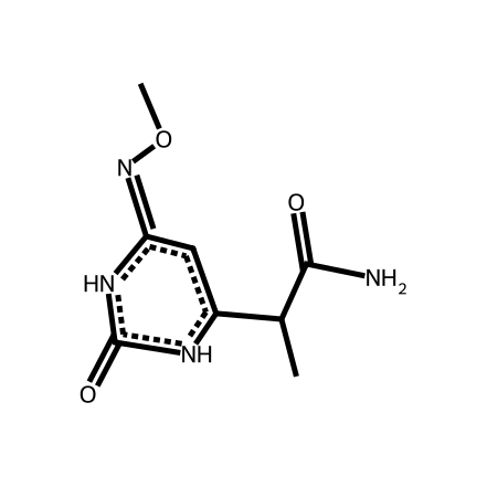 CO/N=c1\cc(C(C)C(N)=O)[nH]c(=O)[nH]1